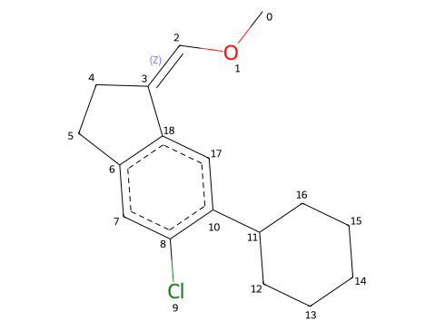 CO/C=C1/CCc2cc(Cl)c(C3CCCCC3)cc21